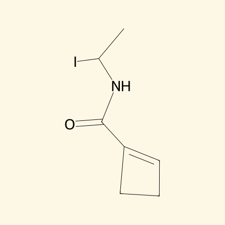 CC(I)NC(=O)C1=CCC1